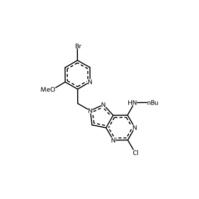 CCCCNc1nc(Cl)nc2cn(Cc3ncc(Br)cc3OC)nc12